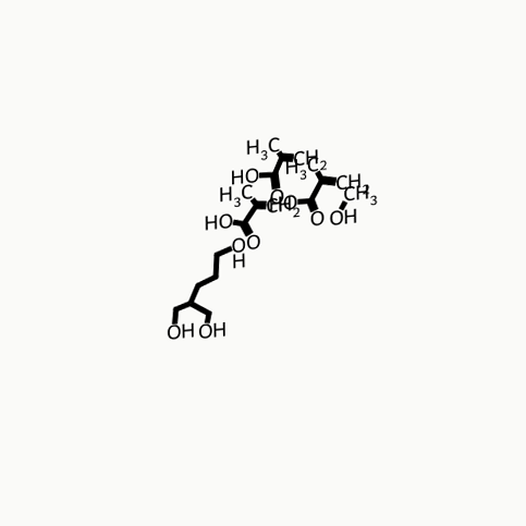 C=C(C)C(=O)O.C=C(C)C(=O)O.C=C(C)C(=O)O.CO.OCCCC(CO)CO